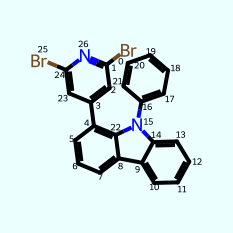 Brc1cc(-c2cccc3c4ccccc4n(-c4ccccc4)c23)cc(Br)n1